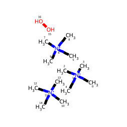 C[N+](C)(C)C.C[N+](C)(C)C.C[N+](C)(C)C.OO